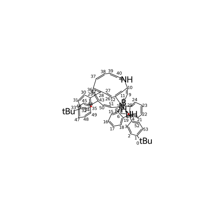 CC(C)(C)c1ccc(N/C=C2B/C=C3/C=C(n4c5ccccc5c5ccccc54)\C=C/C(c4ccc(C(C)(C)C)cc4)=C(/C=C\C=C\N3)\C=C(c3ccccc3)/C=C\2)cc1